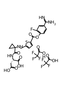 N=C(N)c1ccc(OC(=O)c2ccc(CNC3(C(=O)N[C@@H](CC(=O)O)C(=O)O)CC3)s2)c(F)c1.O=C(O)C(F)(F)F.O=C(O)C(F)(F)F